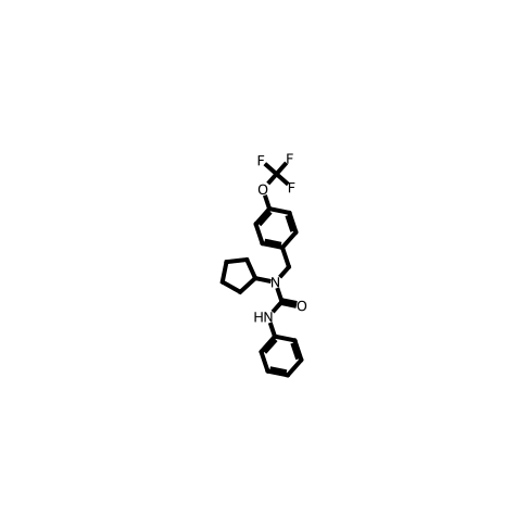 O=C(Nc1ccccc1)N(Cc1ccc(OC(F)(F)F)cc1)C1CCCC1